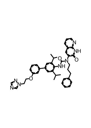 CC(C)c1cc(-c2cccc(OCCn3cncn3)c2)cc(C(C)C)c1NC(=O)N(CCCc1ccccc1)c1cc2cccnc2[nH]c1=O